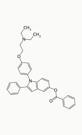 CCN(CC)CCOc1ccc(-n2c(-c3ccccc3)cc3cc(OC(=O)c4ccccc4)ccc32)cc1